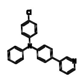 Clc1ccc(N(c2ccccc2)c2ccc(-c3cccnc3)cc2)cc1